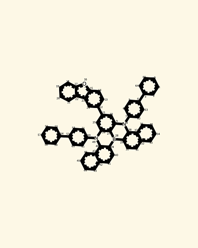 c1ccc(-c2ccc(N3c4cc(-c5ccc6oc7ccccc7c6c5)cc5c4B(c4ccc6ccccc6c43)c3ccc4ccccc4c3N5c3ccc(-c4ccccc4)cc3)cc2)cc1